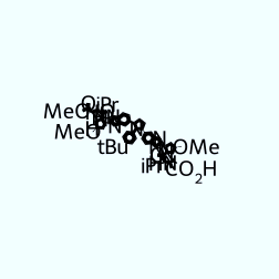 COC(=O)N[C@H](C(=O)N1C[C@@H](OC)C[C@H]1c1nc2cc([C@H]3CC[C@H](c4ccc5[nH]c([C@@H]6C[C@H](OC)CN6C(=O)[C@H](C(C)C)N(C)C(=O)O)nc5c4)N3c3ccc(C(C)(C)C)cc3)ccc2[nH]1)C(C)C